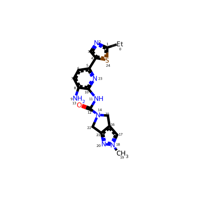 CCc1ncc(-c2ccc(N)c(NC(=O)N3Cc4cn(C)nc4C3)n2)s1